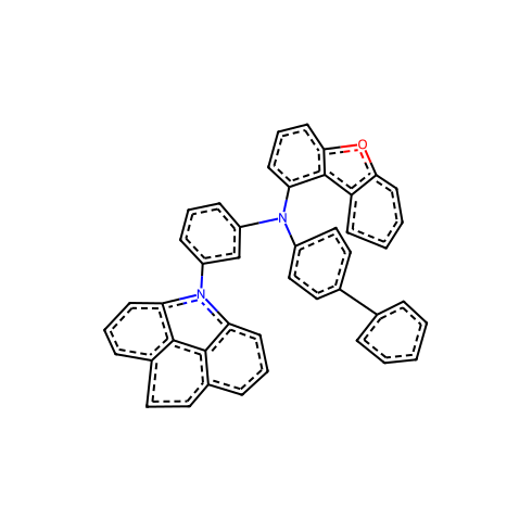 c1ccc(-c2ccc(N(c3cccc(-n4c5cccc6ccc7cccc4c7c65)c3)c3cccc4oc5ccccc5c34)cc2)cc1